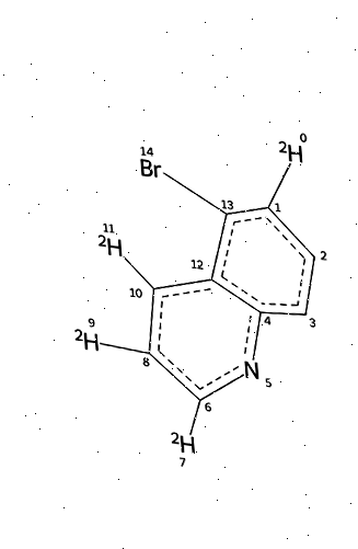 [2H]c1ccc2nc([2H])c([2H])c([2H])c2c1Br